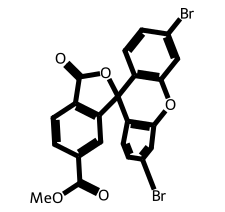 COC(=O)c1ccc2c(c1)C1(OC2=O)c2ccc(Br)cc2Oc2cc(Br)ccc21